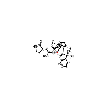 C[C@](O)(C(=O)N1[C@@H]2CC[C@H]([C@H]1C(=O)N[C@H](C#N)C[C@H]1CCNC1=O)C(F)(F)C2)c1ccccc1